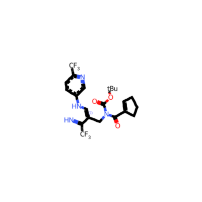 CC(C)(C)OC(=O)N(C/C(=C/Nc1ccc(C(F)(F)F)nc1)C(=N)C(F)(F)F)C(=O)C1=CCCC1